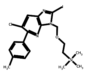 Cc1ccc(-c2nc3c(cc2Cl)nc(I)n3COCC[Si](C)(C)C)cc1